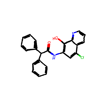 O=C(Nc1cc(Cl)c2cccnc2c1O)C(c1ccccc1)c1ccccc1